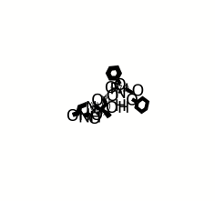 C#C[C@@]1(O)[C@H](O)[C@@H](COP(=O)(N[C@@H](C)C(=O)OC2CCCCC2)Oc2ccccc2)O[C@H]1n1ccc(=O)[nH]c1=O